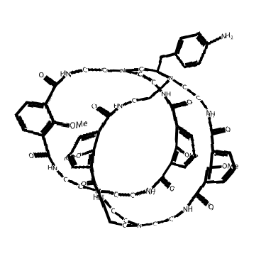 COc1c2cccc1C(=O)NCCN1CCNC(=O)c3cccc(c3OC)C(=O)NCCN(CCNC2=O)CCN2CCNC(=O)c3cccc(c3OC)C(=O)NCCN(CCNC(=O)c3cccc(c3OC)C(=O)NCC2)C(Cc2ccc(N)cc2)C1